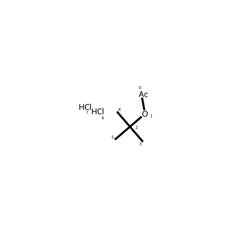 CC(=O)OC(C)(C)C.Cl.Cl